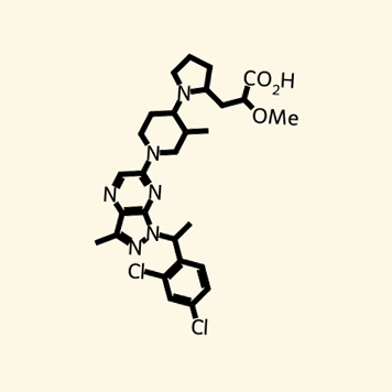 COC(CC1CCCN1C1CCN(c2cnc3c(C)nn(C(C)c4ccc(Cl)cc4Cl)c3n2)CC1C)C(=O)O